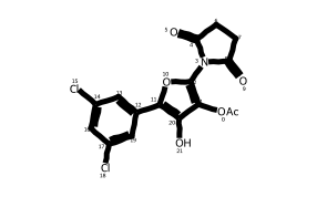 CC(=O)Oc1c(N2C(=O)CCC2=O)oc(-c2cc(Cl)cc(Cl)c2)c1O